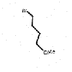 COCCCCBr